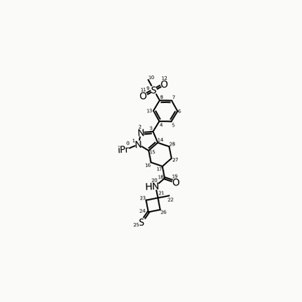 CC(C)n1nc(-c2cccc(S(C)(=O)=O)c2)c2c1CC(C(=O)NC1(C)CC(=S)C1)CC2